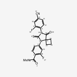 CNC(=O)c1ccc(N2C(=S)N(c3ccc(C#N)cc3F)C(=O)C23CCC3)cc1F